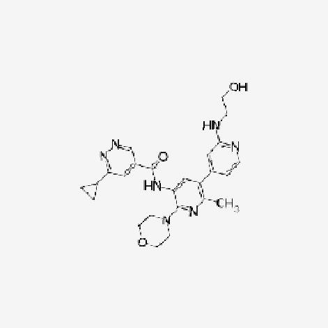 Cc1nc(N2CCOCC2)c(NC(=O)c2cnnc(C3CC3)c2)cc1-c1ccnc(NCCO)c1